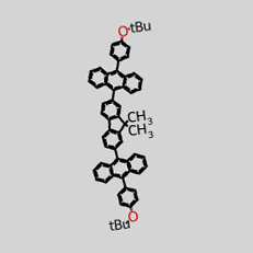 CC(C)(C)Oc1ccc(-c2c3ccccc3c(-c3ccc4c(c3)C(C)(C)c3cc(-c5c6ccccc6c(-c6ccc(OC(C)(C)C)cc6)c6ccccc56)ccc3-4)c3ccccc23)cc1